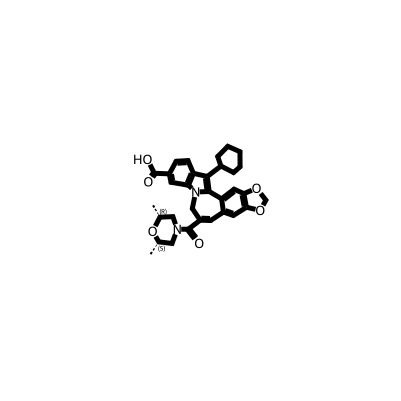 C[C@@H]1CN(C(=O)C2=Cc3cc4c(cc3-c3c(C5CCCCC5)c5ccc(C(=O)O)cc5n3C2)OCO4)C[C@H](C)O1